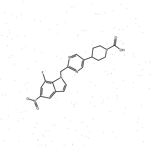 O=C(O)N1CCC(c2cnc(Cn3ccc4cc([N+](=O)[O-])cc(F)c43)nc2)CC1